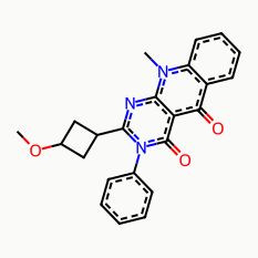 COC1CC(c2nc3c(c(=O)c4ccccc4n3C)c(=O)n2-c2ccccc2)C1